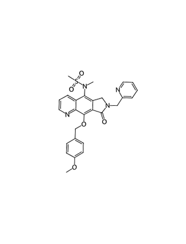 COc1ccc(COc2c3c(c(N(C)S(C)(=O)=O)c4cccnc24)CN(Cc2ccccn2)C3=O)cc1